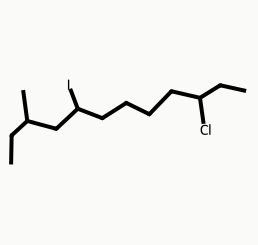 CCC(C)CC(I)CCCCC(Cl)CC